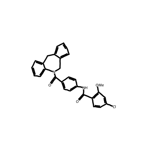 COc1cc(Cl)ccc1C(=O)Nc1ccc(C(=O)N2Cc3ccccc3Cc3ccccc32)cc1